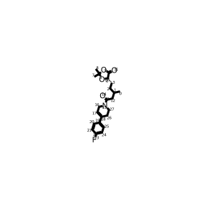 CC(CC[C@@H]1OC(C)(C)OC1=O)CC(=O)N1CC=C(c2ccc(F)cc2)CC1